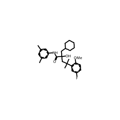 COc1ccc(F)cc1C(C)(C)CC(O)(CC1CCCCC1)C(=O)Nc1cc(C)cc(C)c1